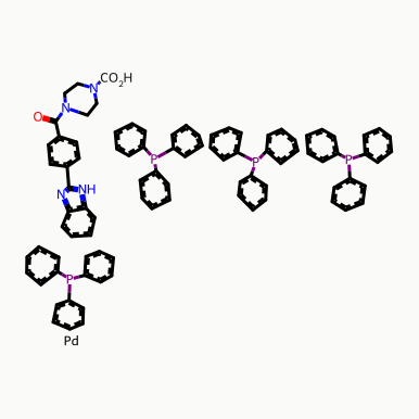 O=C(O)N1CCN(C(=O)c2ccc(-c3nc4ccccc4[nH]3)cc2)CC1.[Pd].c1ccc(P(c2ccccc2)c2ccccc2)cc1.c1ccc(P(c2ccccc2)c2ccccc2)cc1.c1ccc(P(c2ccccc2)c2ccccc2)cc1.c1ccc(P(c2ccccc2)c2ccccc2)cc1